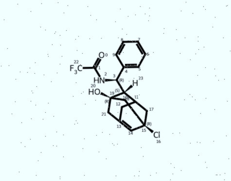 O=C(N[C@@H](c1ccccc1)[C@@H]1C2CC3=C[C@@](Cl)(C2)C[C@]1(O)C3)C(F)(F)F